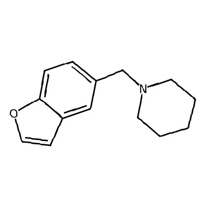 c1cc2cc(CN3CCCCC3)ccc2o1